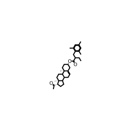 CCC(Cc1c(C)cc(C)cc1C)C(=O)O[C@H]1CC[C@@]2(C)C(=CCC3C2CC[C@@]2(C)C3CC[C@@H]2C(C)=O)C1